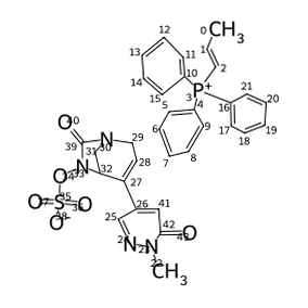 CC=C[P+](c1ccccc1)(c1ccccc1)c1ccccc1.Cn1ncc(C2=CCN3CC2N(OS(=O)(=O)[O-])C3=O)cc1=O